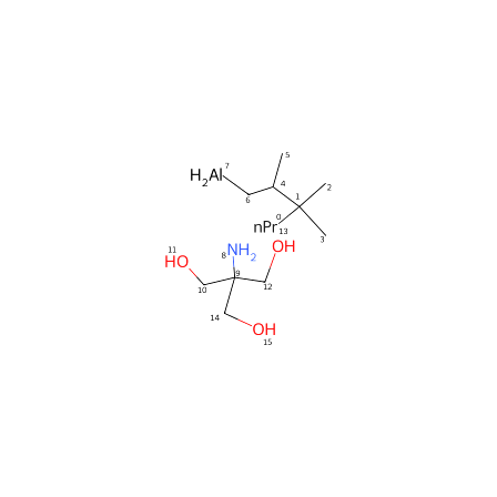 CCCC(C)(C)C(C)[CH2][AlH2].NC(CO)(CO)CO